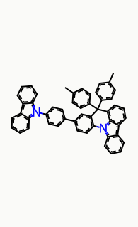 Cc1ccc(C2(c3ccc(C)cc3)c3cc(-c4ccc(-n5c6ccccc6c6ccccc65)cc4)ccc3-n3c4ccccc4c4cccc2c43)cc1